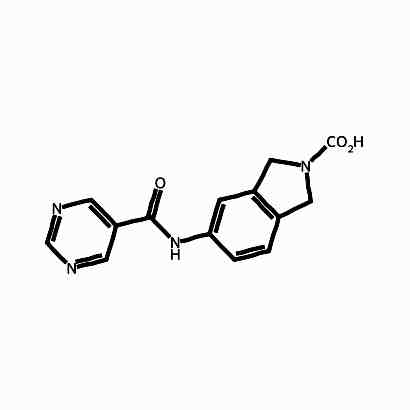 O=C(Nc1ccc2c(c1)CN(C(=O)O)C2)c1cncnc1